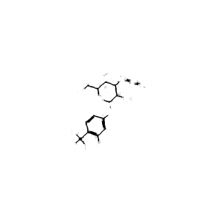 [N-]=[N+]=NC1C(O)[C@@H](Sc2ccc(C(F)(F)F)c(Cl)c2)OC(CO)[C@@H]1O